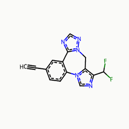 C#Cc1ccc2c(c1)-c1ncnn1Cc1c(C(F)F)ncn1-2